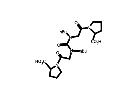 CCCCN(CC(=O)N1CCCC1C(=O)O)C(=O)N(CCCC)CC(=O)N1CCCC1C(=O)O